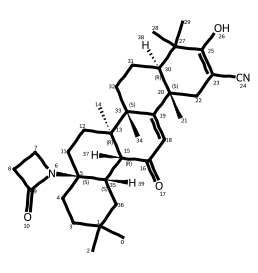 CC1(C)CC[C@]2(N3CCC3=O)CC[C@]3(C)[C@H](C(=O)C=C4[C@@]5(C)CC(C#N)=C(O)C(C)(C)[C@@H]5CC[C@]43C)[C@@H]2C1